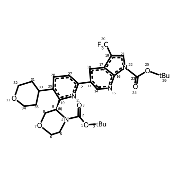 CC(C)(C)OC(=O)N1CCOC[C@H]1c1nc(-c2cnc3c(c2)c(C(F)(F)F)cn3C(=O)OC(C)(C)C)ccc1C1CCOCC1